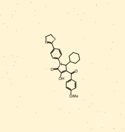 COc1ccc(C(=O)C2=C(O)C(=O)N(c3ccc(C4=NCCS4)cc3)C2C2CCCCC2)cc1